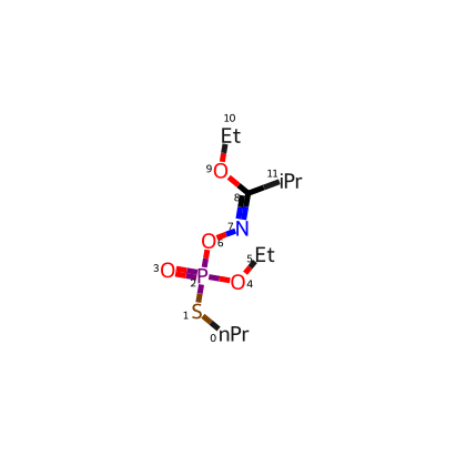 CCCSP(=O)(OCC)ON=C(OCC)C(C)C